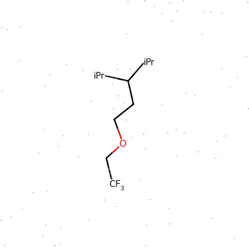 CC(C)C(CCOCC(F)(F)F)C(C)C